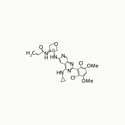 C=CC(=O)N[C@H]1CCOC[C@H]1Nc1cc2c(NC3CC3)nc(-c3c(Cl)c(OC)cc(OC)c3Cl)nc2cn1